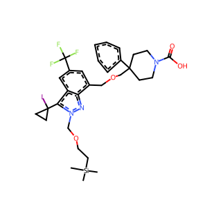 C[Si](C)(C)CCOCn1nc2c(COCC3(c4ccccc4)CCN(C(=O)O)CC3)cc(C(F)(F)F)cc2c1C1(I)CC1